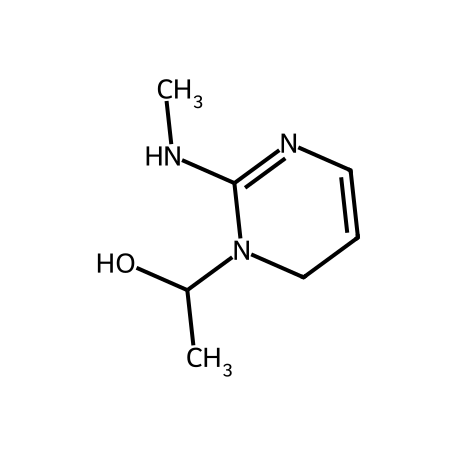 CNC1=NC=CCN1C(C)O